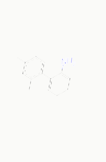 Cc1ccc(C2=CCCC=C2N)c(C)c1